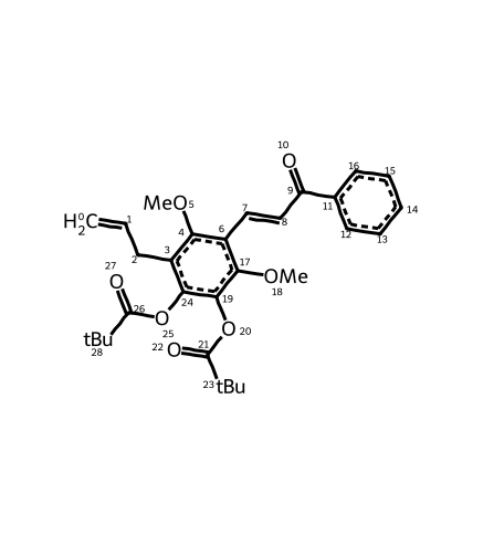 C=CCc1c(OC)c(C=CC(=O)c2ccccc2)c(OC)c(OC(=O)C(C)(C)C)c1OC(=O)C(C)(C)C